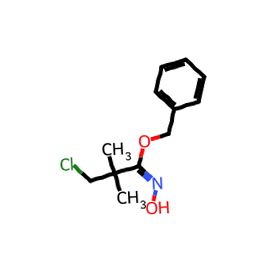 CC(C)(CCl)C(=NO)OCc1ccccc1